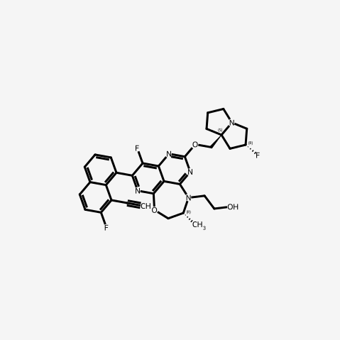 C#Cc1c(F)ccc2cccc(-c3nc4c5c(nc(OC[C@@]67CCCN6C[C@H](F)C7)nc5c3F)N(CCO)[C@H](C)CO4)c12